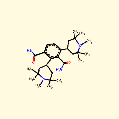 CN1C(C)(C)CC(c2ccc(C(N)=O)c(C3CC(C)(C)N(C)C(C)(C)C3)c2C(N)=O)CC1(C)C